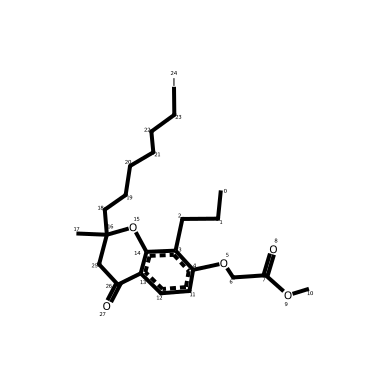 CCCc1c(OCC(=O)OC)ccc2c1OC(C)(CCCCCCI)CC2=O